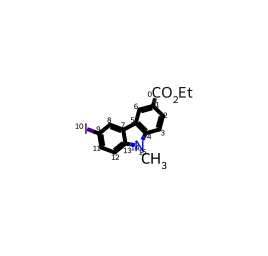 CCOC(=O)c1ccc2c(c1)c1cc(I)ccc1n2C